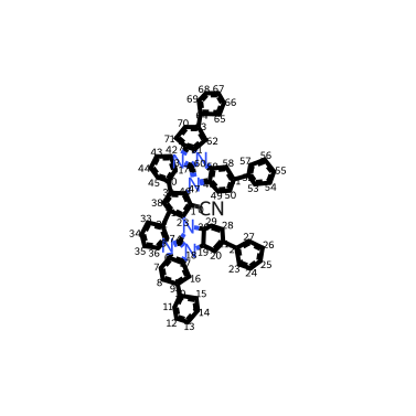 N#Cc1c(N2c3nc4ccc(-c5ccccc5)cc4n3C3C=C(c4ccccc4)C=CC32)c(-c2ccccc2)cc(-c2ccccc2)c1-n1c2ccc(-c3ccccc3)cc2n2c3cc(-c4ccccc4)ccc3nc12